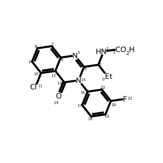 CCC(NC(=O)O)c1nc2cccc(Cl)c2c(=O)n1-c1cccc(F)c1